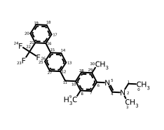 CCN(C)C=Nc1cc(C)c(Cc2ccc(-c3ccccc3C(F)(F)F)cc2)cc1C